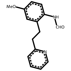 COc1ccc(NC=O)c(CCc2ccccn2)c1